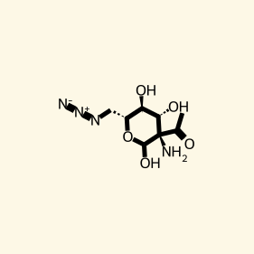 CC(=O)[C@]1(N)C(O)O[C@H](CN=[N+]=[N-])[C@@H](O)[C@@H]1O